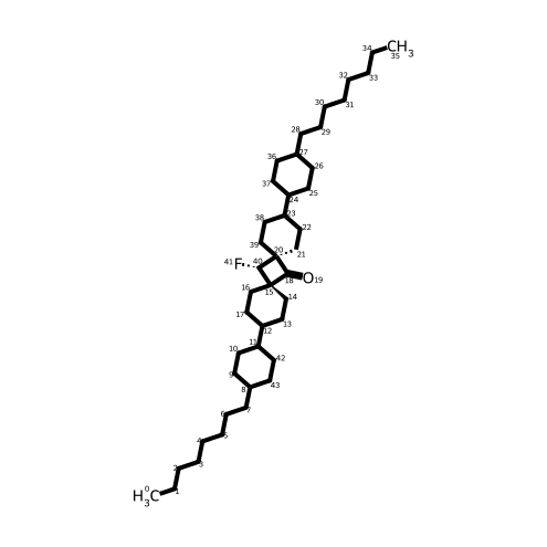 CCCCCCCCC1CCC(C2CC[C@]3(CC2)C(=O)[C@@]2(CCC(C4CCC(CCCCCCCC)CC4)CC2)[C@H]3F)CC1